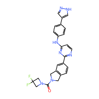 O=C(N1Cc2ccc(-c3nccc(Nc4ccc(-c5cn[nH]c5)cc4)n3)cc2C1)N1CC(F)(F)C1